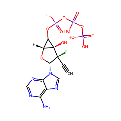 C#C[C@]1(F)[C@H](n2cnc3c(N)ncnc32)O[C@@H]2C(OP(=O)(O)OP(=O)(O)OP(=O)(O)O)[C@@]21O